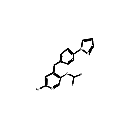 CC(=O)c1cc(Cc2ccc(-n3cccn3)cc2)c(OC(F)F)cn1